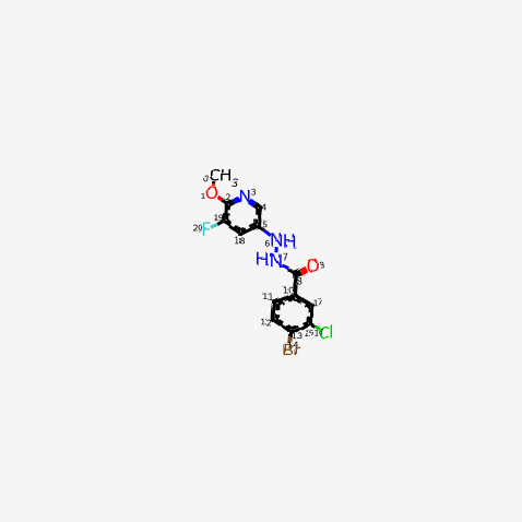 COc1ncc(NNC(=O)c2ccc(Br)c(Cl)c2)cc1F